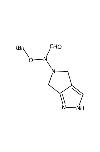 CC(C)(C)ON(C=O)N1Cc2c[nH]nc2C1